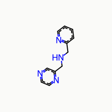 c1ccc(CNCc2cnccn2)nc1